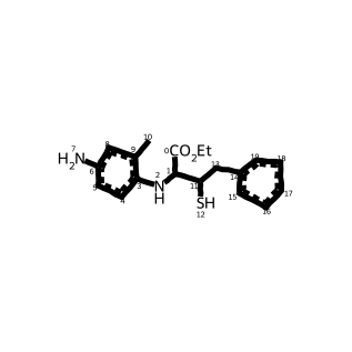 CCOC(=O)C(Nc1ccc(N)cc1C)C(S)Cc1ccccc1